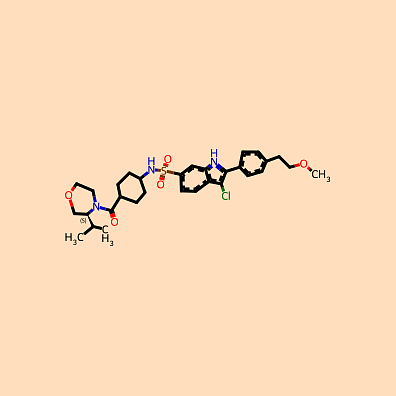 COCCc1ccc(-c2[nH]c3cc(S(=O)(=O)NC4CCC(C(=O)N5CCOC[C@@H]5C(C)C)CC4)ccc3c2Cl)cc1